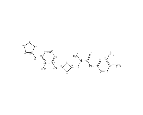 Cc1ccc(NC(=O)N(C)CC2CC(Oc3cccc(CN4CCCC4)c3Cl)C2)cc1C